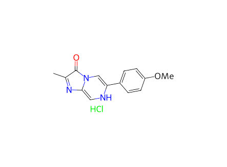 COc1ccc(-c2cn3c(=O)c(C)nc-3c[nH]2)cc1.Cl